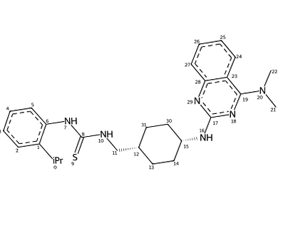 CC(C)c1ccccc1NC(=S)NC[C@H]1CC[C@@H](Nc2nc(N(C)C)c3ccccc3n2)CC1